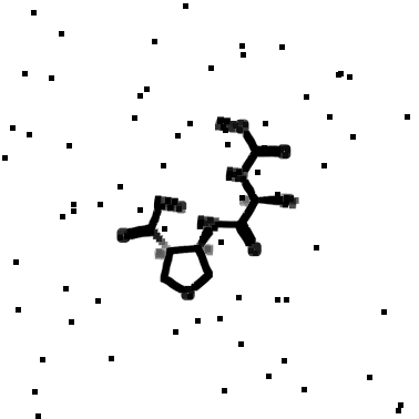 CNC(=O)[C@H]1COC[C@@H]1NC(=O)[C@@H](NC(=O)OC)C(C)C